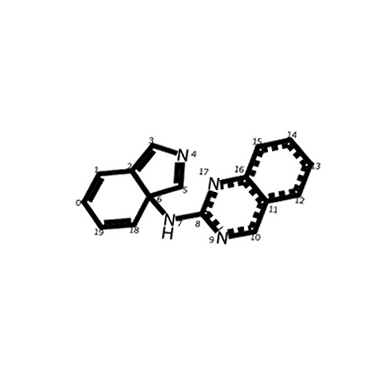 C1=CC2=CN=CC2(Nc2ncc3ccccc3n2)C=C1